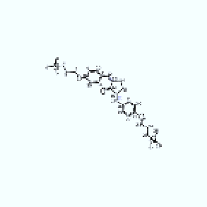 C[Si](C)(C)CCCOc1ccc(/C=C2/CC/C(=C\c3ccc(OCCC[Si](C)(C)C)cc3)C2=O)cc1